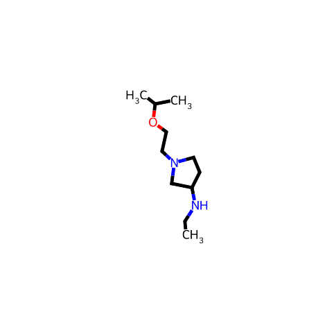 CCNC1CCN(CCOC(C)C)C1